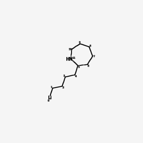 [Li][CH2]CCCC1CCCCCN1